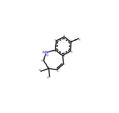 Cc1ccc2c(c1)C=CC(C)(C)CN2